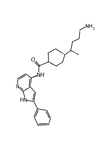 CC(CCCN)C1CCC(C(=O)Nc2ccnc3[nH]c(-c4ccccc4)cc23)CC1